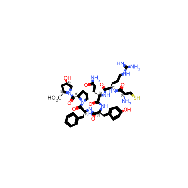 N=C(N)NCCC[C@H](NC(=O)[C@@H](N)CS)C(=O)N[C@@H](CCC(N)=O)C(=O)N[C@@H](Cc1ccc(O)cc1)C(=O)N[C@@H](Cc1ccccc1)C(=O)N1CCC[C@H]1C(=O)N1C[C@H](O)C[C@H]1C(=O)O